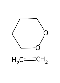 C1CCOOC1.C=C